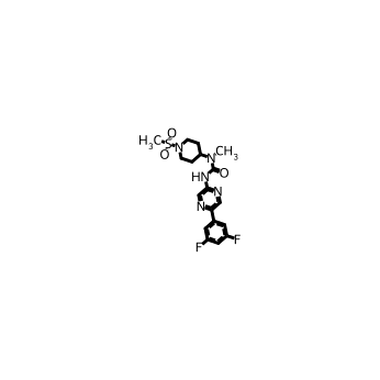 CN(C(=O)Nc1cnc(-c2cc(F)cc(F)c2)cn1)C1CCN(S(C)(=O)=O)CC1